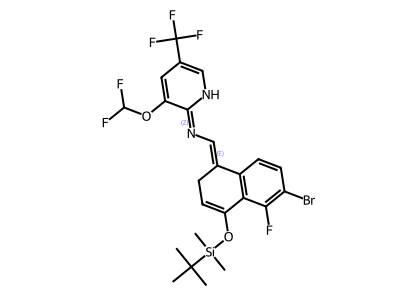 CC(C)(C)[Si](C)(C)OC1=CC/C(=C\N=c2/[nH]cc(C(F)(F)F)cc2OC(F)F)c2ccc(Br)c(F)c21